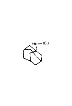 CC(C)(C)PC12CC3CC(CC(C3)C1)C2